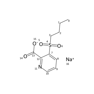 CCCCS(=O)(=O)c1cccnc1C(=O)[O-].[Na+]